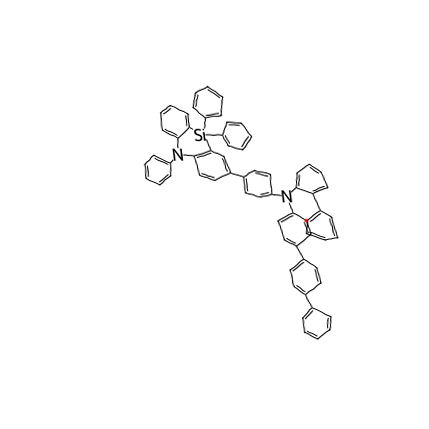 c1ccc(-c2ccc(-c3ccc(N(c4ccc(-c5ccc6c(c5)[Si](c5ccccc5)(c5ccccc5)c5ccccc5N6c5ccccc5)cc4)c4ccccc4-c4ccccc4)cc3)cc2)cc1